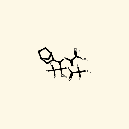 C=C(C)C(=O)OC(C1CC2CCC1C2)C(C)(OC(=O)C(C)(F)F)C(F)(F)F